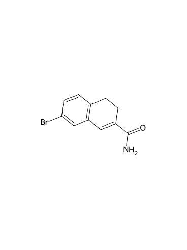 NC(=O)C1=Cc2cc(Br)ccc2CC1